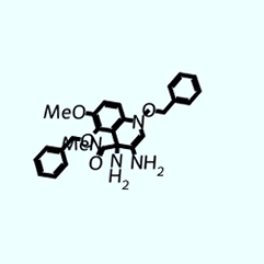 CNC(=O)C1(N)C(N)=CN(OCc2ccccc2)c2ccc(OC)c(OCc3ccccc3)c21